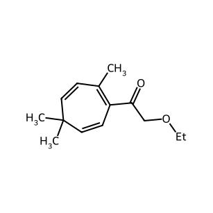 CCOCC(=O)C1=C(C)C=CC(C)(C)C=C1